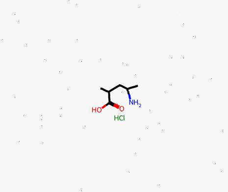 CC(N)CC(C)C(=O)O.Cl